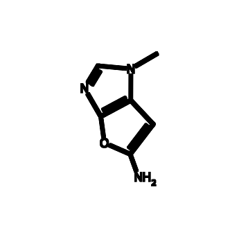 Cn1cnc2oc(N)cc21